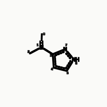 C[SiH](C)c1cc[nH]n1